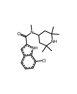 CN(C(=O)c1cc2cccc(Cl)c2[nH]1)C1CC(C)(C)NC(C)(C)C1